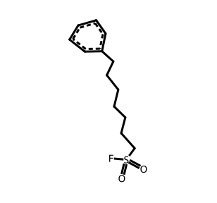 O=S(=O)(F)CCCCCCCc1ccccc1